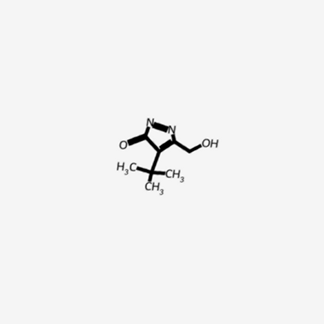 CC(C)(C)C1=C(CO)N=NC1=O